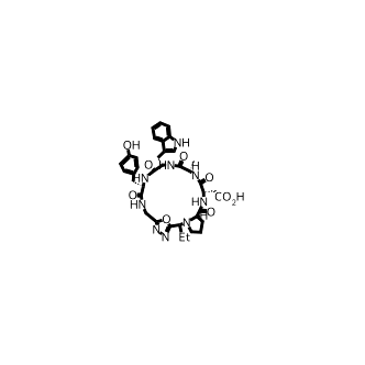 CCC1c2nnc(o2)CNC(=O)[C@H](Cc2ccc(O)cc2)NC(=O)[C@H](Cc2c[nH]c3ccccc23)NC(=O)[C@H](C)NC(=O)[C@H](CC(=O)O)NC(=O)[C@@H]2CCCN12